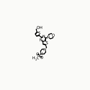 CS(=O)(=O)N1CCN(Cc2cc3nc(-c4ccc(CO)s4)nc(N4CCOCC4)c3s2)CC1